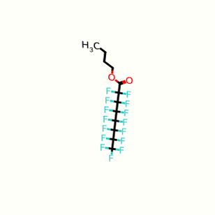 CCCCOC(=O)C(F)(F)C(F)(F)C(F)(F)C(F)(F)C(F)(F)C(F)(F)C(F)(F)F